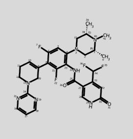 C[C@@H]1CN(c2cc(F)c(C3=CCCN(c4ncccn4)C3)c(F)c2NC(=O)c2c[nH]c(=O)cc2C(F)F)C[C@H](C)N1C